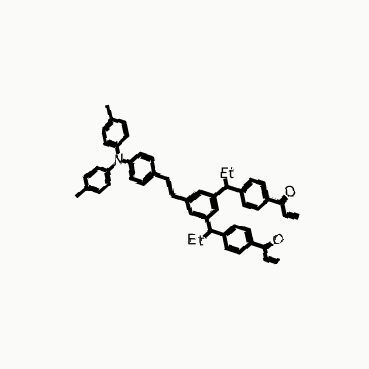 C=CC(=O)c1ccc(C(CC)c2cc(CCc3ccc(N(c4ccc(C)cc4)c4ccc(C)cc4)cc3)cc(C(CC)c3ccc(C(=O)C=C)cc3)c2)cc1